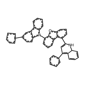 C1=CC2=C(c3ccccc3)C=C(c3cccc4oc5c(-n6c7ccccc7c7cc(-c8ccccc8)ccc76)cccc5c34)NC2C=C1